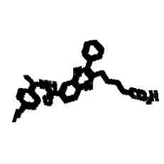 C[C@@H](NC(=O)c1ccc2nc(CCCCC(=O)O)c(-c3ccccc3)nc2c1)c1ccc(F)cc1